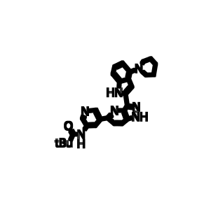 CC(C)(C)C(=O)Nc1cncc(-c2ccc3[nH]nc(-c4cc5c(N6CCCCC6)cccc5[nH]4)c3n2)c1